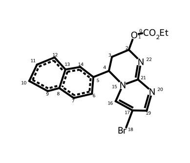 CCOC(=O)OC1CC(c2ccc3ccccc3c2)N2C=C(Br)C=NC2=N1